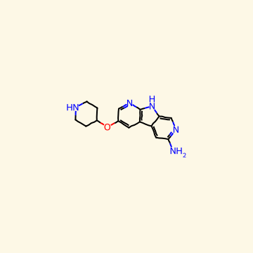 Nc1cc2c(cn1)[nH]c1ncc(OC3CCNCC3)cc12